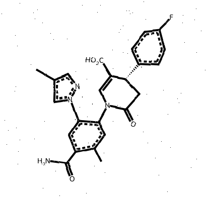 Cc1cnn(-c2cc(C(N)=O)c(C)cc2N2C=C(C(=O)O)[C@H](c3ccc(F)cc3)CC2=O)c1